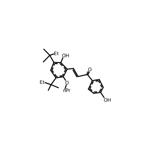 CCCOc1c(C(C)(C)CC)cc(C(C)(C)CC)c(O)c1C=CC(=O)c1ccc(O)cc1